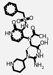 CC(=O)N(c1cc[nH]c(=O)c1NS(=O)(=O)Cc1ccccc1)[C@@H](CN(C(=N)N)C1CCCNC1)C(=O)O